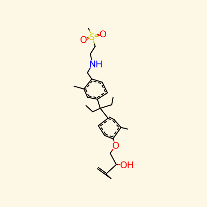 C=C(C)C(O)COc1ccc(C(CC)(CC)c2ccc(CNCCS(C)(=O)=O)c(C)c2)cc1C